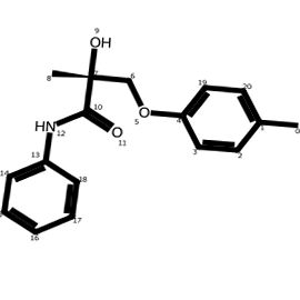 Cc1ccc(OC[C@@](C)(O)C(=O)Nc2ccccc2)cc1